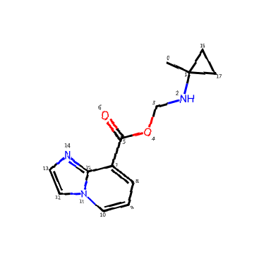 CC1(NCOC(=O)c2cccn3ccnc23)CC1